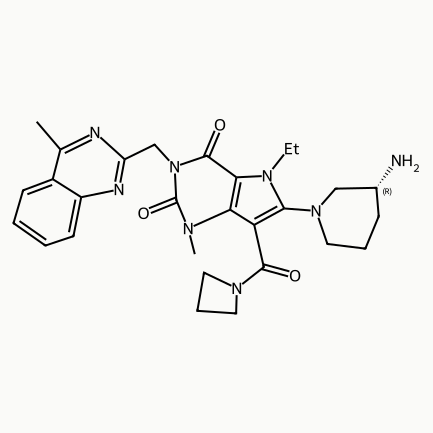 CCn1c(N2CCC[C@@H](N)C2)c(C(=O)N2CCC2)c2c1c(=O)n(Cc1nc(C)c3ccccc3n1)c(=O)n2C